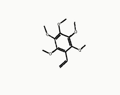 C=Cc1c(OC)c(OC)c(OC)c(OC)c1OC